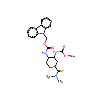 CN(C)C(=S)C1CCC(NC(=O)OCC2c3ccccc3-c3ccccc32)C(NC(=O)OC(C)(C)C)C1